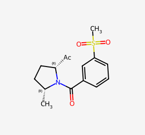 CC(=O)[C@H]1CC[C@@H](C)N1C(=O)c1cccc(S(C)(=O)=O)c1